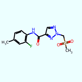 Cc1ccc(NC(=O)c2cnn(CS(C)(=O)=O)n2)c(F)c1